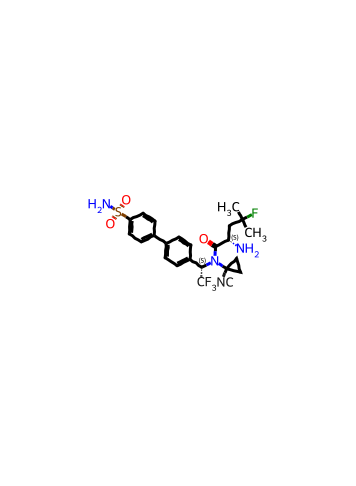 CC(C)(F)C[C@H](N)C(=O)N([C@@H](c1ccc(-c2ccc(S(N)(=O)=O)cc2)cc1)C(F)(F)F)C1(C#N)CC1